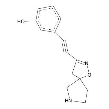 Oc1cccc(C#CC2=NOC3(CCNC3)C2)c1